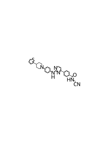 N#CCNC(=O)c1ccc(-c2ccnc(Nc3ccc(N4CCC(c5cccs5)CC4)cc3)n2)cc1